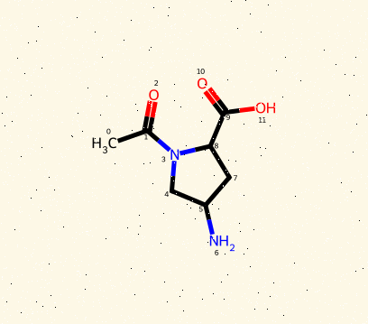 CC(=O)N1CC(N)CC1C(=O)O